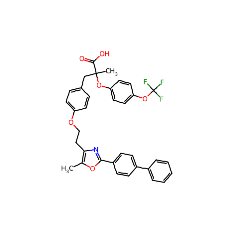 Cc1oc(-c2ccc(-c3ccccc3)cc2)nc1CCOc1ccc(CC(C)(Oc2ccc(OC(F)(F)F)cc2)C(=O)O)cc1